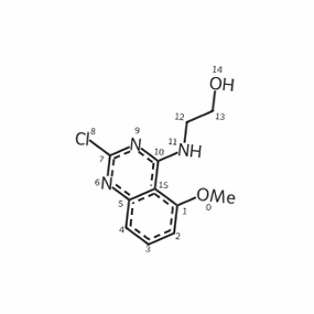 COc1cccc2nc(Cl)nc(NCCO)c12